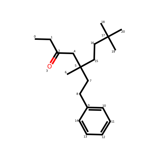 CCC(=O)CC(C)(CCc1ccccc1)CCC(C)(C)C